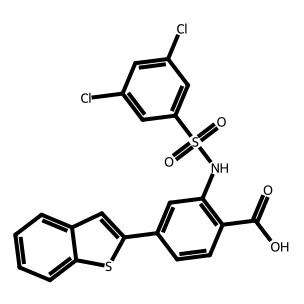 O=C(O)c1ccc(-c2cc3ccccc3s2)cc1NS(=O)(=O)c1cc(Cl)cc(Cl)c1